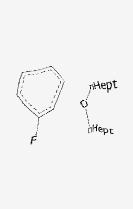 CCCCCCCOCCCCCCC.Fc1ccccc1